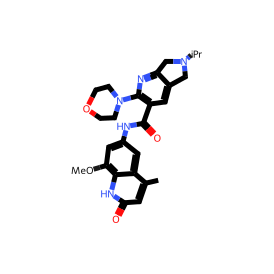 COc1cc(NC(=O)c2cc3c(nc2N2CCOCC2)CN(C(C)C)C3)cc2c(C)cc(=O)[nH]c12